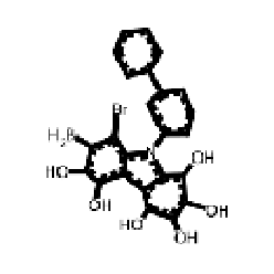 Bc1c(O)c(O)c2c3c(O)c(O)c(O)c(O)c3n(-c3cccc(-c4ccccc4)c3)c2c1Br